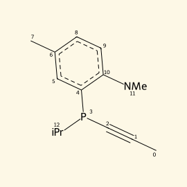 CC#CP(c1cc(C)ccc1NC)C(C)C